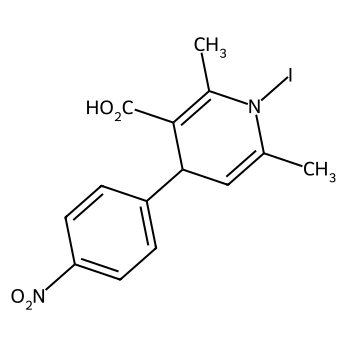 CC1=CC(c2ccc([N+](=O)[O-])cc2)C(C(=O)O)=C(C)N1I